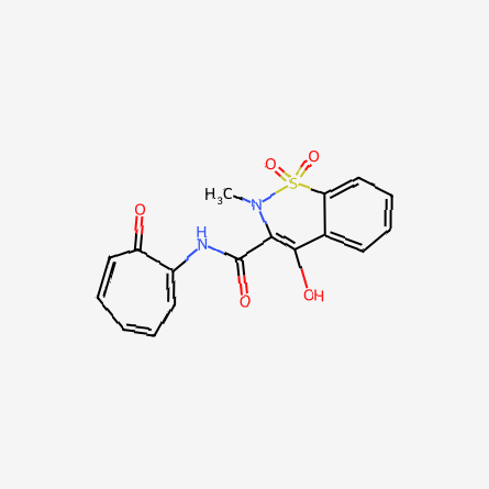 CN1C(C(=O)Nc2cccccc2=O)=C(O)c2ccccc2S1(=O)=O